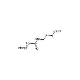 CCCCCCCCCCCNC(=O)NCCCCCCC